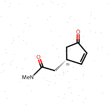 CNC(=O)C[C@H]1C=CC(=O)C1